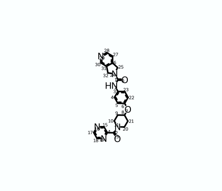 O=C(Nc1ccc(OC2CCN(C(=O)c3cnccn3)CC2)cc1)N1Cc2ccncc2C1